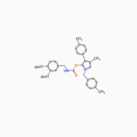 COc1ccc(CNC(=O)Oc2c(-c3ccc(C)cc3)c(C)cn2Cc2ccc(C)cc2)cc1OC